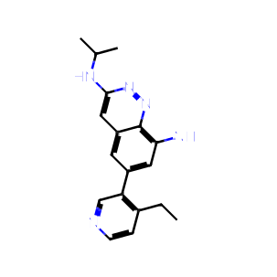 CCc1ccncc1-c1cc(N)c2nnc(NC(C)C)cc2c1